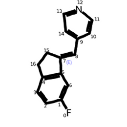 Fc1ccc2c(c1)/C(=C/c1ccncc1)CC2